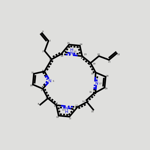 C=CCc1c2nc(c(C)c3ccc([nH]3)c(C)c3nc(c(CC=C)c4ccc1[nH]4)C=C3)C=C2